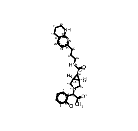 CC(=O)C(c1ccccc1Cl)N1C[C@@H]2[C@H](C1)[C@@H]2C(=O)NCCCc1ccc2c(n1)NCCC2